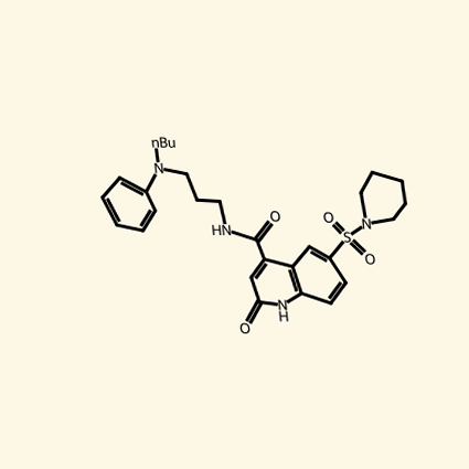 CCCCN(CCCNC(=O)c1cc(=O)[nH]c2ccc(S(=O)(=O)N3CCCCC3)cc12)c1ccccc1